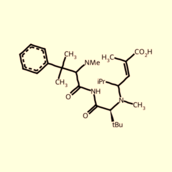 CNC(C(=O)NC(=O)[C@@H](N(C)C(/C=C(\C)C(=O)O)C(C)C)C(C)(C)C)C(C)(C)c1ccccc1